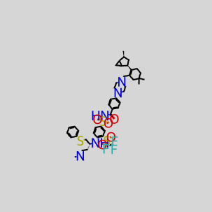 C[C@H]1C[C@@H](C2=C(CN3CCN(c4ccc(C(=O)NS(=O)(=O)c5ccc(N[C@H](CCN(C)C)CSc6ccccc6)c(S(=O)(=O)C(F)(F)F)c5)cc4)CC3)CC(C)(C)CC2)C2CC21